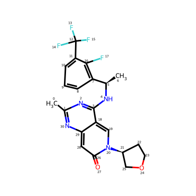 Cc1nc(N[C@H](C)c2cccc(C(F)(F)F)c2F)c2cn([C@H]3CCOC3)c(=O)cc2n1